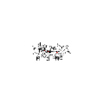 O=C(N[C@@H]1C[C@H]2CC[C@@H](C1)N2S(=O)(=O)CCN1CCCC1)c1cc(C2CC2)on1